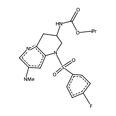 CNc1cnc2c(c1)N(S(=O)(=O)c1ccc(F)cc1)CC(NC(=O)OC(C)C)C2